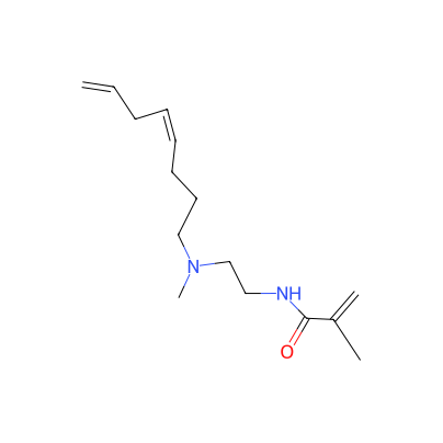 C=CC/C=C\CCCN(C)CCNC(=O)C(=C)C